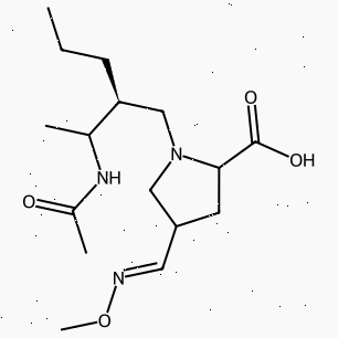 CCC[C@@H](CN1CC(C=NOC)CC1C(=O)O)C(C)NC(C)=O